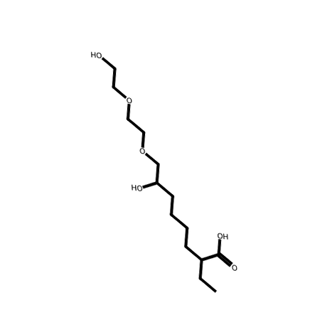 CCC(CCCCC(O)COCCOCCO)C(=O)O